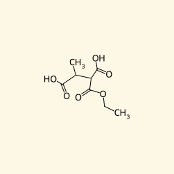 CCOC(=O)C(C(=O)O)C(C)C(=O)O